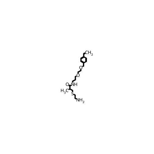 C=Cc1ccc(COCCOCCCNC(=O)C(C)CSCCN)cc1